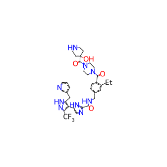 CCc1cc(CNC(=O)c2ncc(-c3c(C(F)(F)F)n[nH]c3Cc3cccnc3)[nH]2)ccc1C(=O)N1CCN(C(=O)C2(O)CCNCC2)CC1